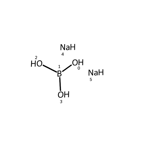 OB(O)O.[NaH].[NaH]